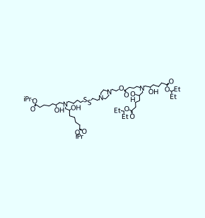 CCC(CC)OC(=O)CCCC(O)CN(CCCC(=O)OCCN1CCN(CCSSCCCCN(CC(O)CCCCC(=O)OC(C)C)CC(O)CCCCC(=O)OC(C)C)CC1)CC(O)CCCC(=O)OC(CC)CC